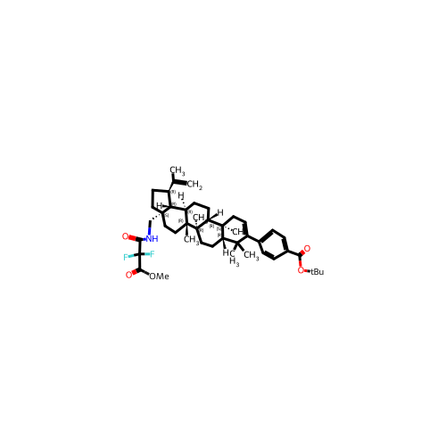 C=C(C)[C@@H]1CC[C@]2(CNC(=O)C(F)(F)C(=O)OC)CC[C@]3(C)[C@H](CC[C@@H]4[C@@]5(C)CC=C(c6ccc(C(=O)OC(C)(C)C)cc6)C(C)(C)[C@@H]5CC[C@]43C)[C@@H]12